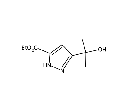 CCOC(=O)c1[nH]nc(C(C)(C)O)c1I